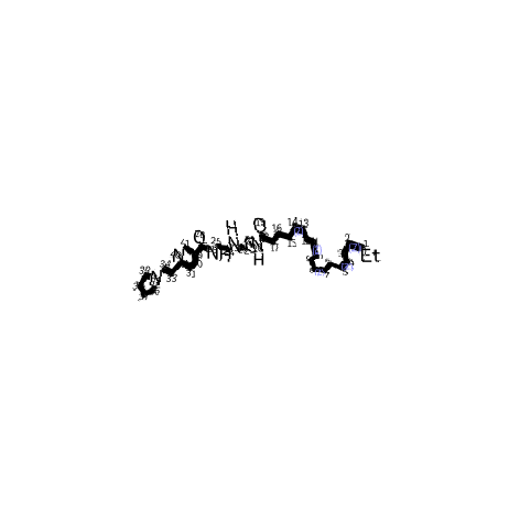 CC/C=C\C/C=C\C/C=C\C/C=C\C/C=C\CCCC(=O)NCCNCCNC(=O)c1ccc(CCN2CCCC2)nc1